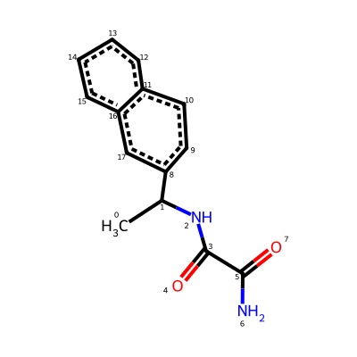 CC(NC(=O)C(N)=O)c1ccc2ccccc2c1